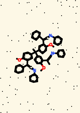 COc1ccc(C(C)(c2ccc(OC)c(C(=C=Nc3ccccc3)c3ccccc3)c2)c2ccc(OC)c(C(=C=Nc3ccccc3)c3ccccc3)c2)cc1C(C)=C=Nc1ccccc1